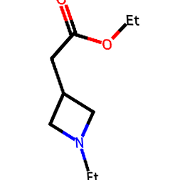 CCOC(=O)CC1CN(CC)C1